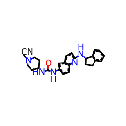 N#CCN1CCC(NC(=O)Nc2ccc3nc(N[C@@H]4CCc5ccccc54)ccc3c2)CC1